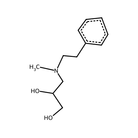 CN(CCc1ccccc1)CC(O)CO